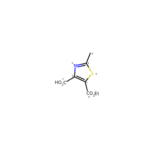 CCOC(=O)c1sc(C)nc1C(=O)O